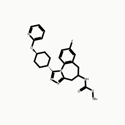 CC(C)(C)OC(=O)NC1Cc2cc(F)ccc2-n2c(nnc2[C@H]2CC[C@H](Oc3ccccn3)CC2)C1